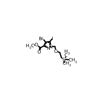 COC(=O)c1nn(COCC[Si](C)(C)C)c(I)c1Br